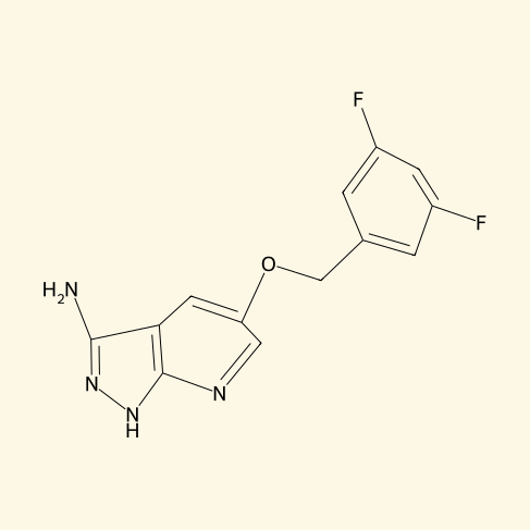 Nc1n[nH]c2ncc(OCc3cc(F)cc(F)c3)cc12